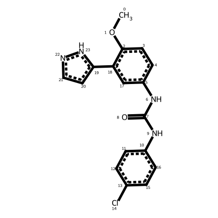 COc1ccc(NC(=O)Nc2ccc(Cl)cc2)cc1-c1ccn[nH]1